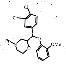 COc1ccccc1OC(c1ccc(Cl)c(Cl)c1)C1CN(C(C)C)CCO1